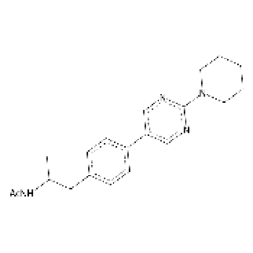 CC(=O)NC(C)Cc1ccc(-c2cnc(N3CCCCC3)nc2)cc1